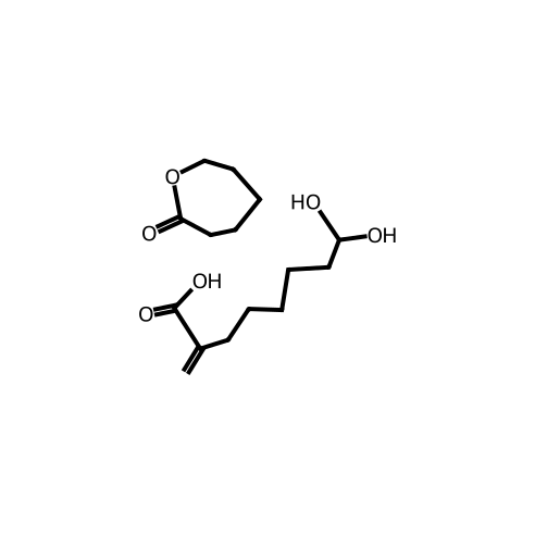 C=C(CCCCCC(O)O)C(=O)O.O=C1CCCCCO1